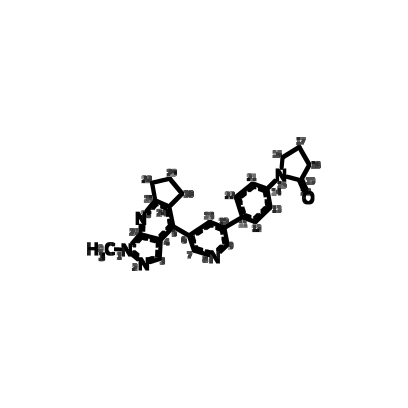 Cn1ncc2c(-c3cncc(-c4ccc(N5CCCC5=O)cc4)c3)c3c(nc21)CCC3